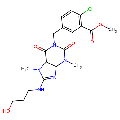 COC(=O)c1cc(CN2C(=O)C3C(N=C(NCCCO)N3C)N(C)C2=O)ccc1Cl